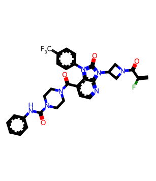 C=C(F)C(=O)N1CC(n2c(=O)n(-c3ccc(C(F)(F)F)cc3)c3c(C(=O)N4CCN(C(=O)Nc5ccccc5)CC4)ccnc32)C1